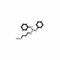 CCCCCCCCCCCCCOP(Oc1ccccc1)Sc1ccccc1